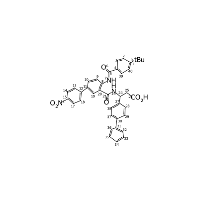 CC(C)(C)c1ccc(C(=O)Nc2ccc(-c3ccc([N+](=O)[O-])cc3)cc2C(=O)NC(CC(=O)O)c2ccc(-c3ccccc3)cc2)cc1